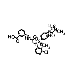 Cc1c(Cl)cccc1N(CC(=O)NCc1cccc(C(=O)O)c1)S(=O)(=O)c1ccc(NC(=O)N(C)C)cc1